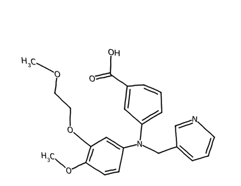 COCCOc1cc(N(Cc2cccnc2)c2cccc(C(=O)O)c2)ccc1OC